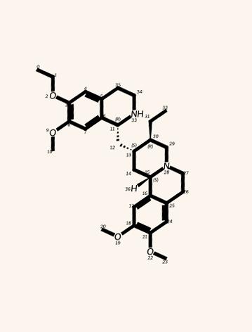 CCOc1cc2c(cc1OC)[C@@H](C[C@H]1C[C@H]3c4cc(OC)c(OC)cc4CCN3C[C@@H]1CC)NCC2